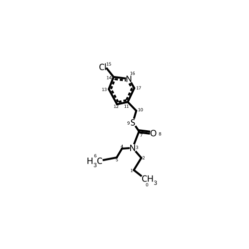 CCCN(CCC)C(=O)SCc1ccc(Cl)nc1